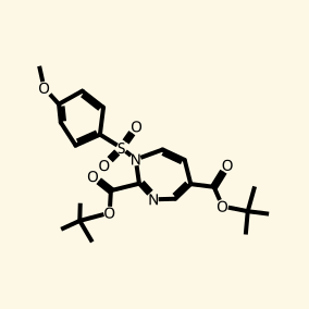 COc1ccc(S(=O)(=O)N2C=CC(C(=O)OC(C)(C)C)=CN=C2C(=O)OC(C)(C)C)cc1